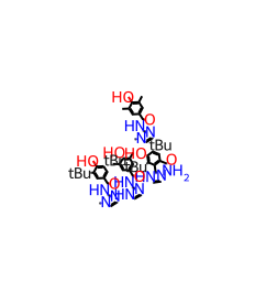 CC(C)(C)c1cc(C(N)=O)c(-c2ncc[nH]2)c(C(C)(C)C)c1O.Cc1cc(C(=O)Nc2ncc[nH]2)cc(C)c1O.Cc1cc(C(=O)Nc2nccn2C)cc(C)c1O.Cn1ccnc1NC(=O)c1cc(C(C)(C)C)c(O)c(C(C)(C)C)c1